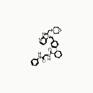 O=C(CNC(=O)[C@@H]1CCCC[C@H]1c1ccc(Cn2c(CN3CCOCC3)nc3ncccc32)cc1)Nc1ccccc1